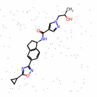 C[C@@H](O)Cn1cc(C(=O)N[C@@H]2CCc3cc(-c4noc(C5CC5)n4)ccc32)cn1